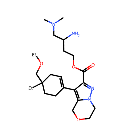 CCOCC1(CC)CC=C(c2c(C(=O)OCCC(N)CN(C)C)nn3c2COCC3)CC1